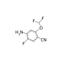 N#Cc1cc(F)c(N)cc1OC(F)F